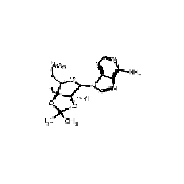 CNC[C@H]1O[C@@H](n2cnc3c(N)ncnc32)[C@H]2OC(C)(C)O[C@@H]21